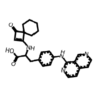 O=C(O)C(Cc1ccc(Nc2nccc3ccncc23)cc1)NC1=CC(=O)C12CCCCC2